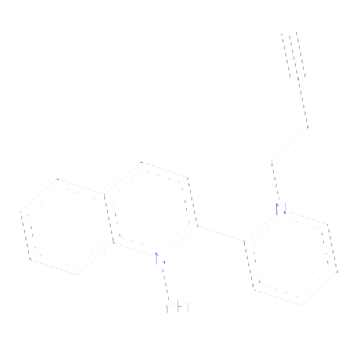 C#CCC[n+]1ccccc1-c1ccc2ccccc2[n+]1CCC